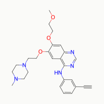 C#Cc1cccc(Nc2ncnc3cc(OCCOC)c(OCCN4CCN(C)CC4)cc23)c1